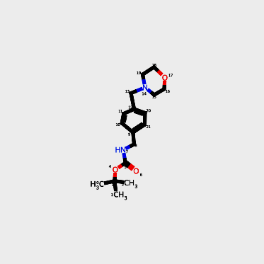 CC(C)(C)OC(=O)NCc1ccc(CN2CCOCC2)cc1